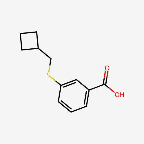 O=C(O)c1cccc(SCC2CCC2)c1